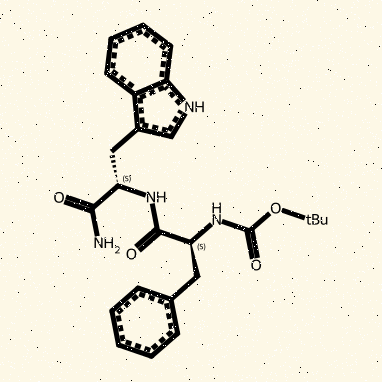 CC(C)(C)OC(=O)N[C@@H](Cc1ccccc1)C(=O)N[C@@H](Cc1c[nH]c2ccccc12)C(N)=O